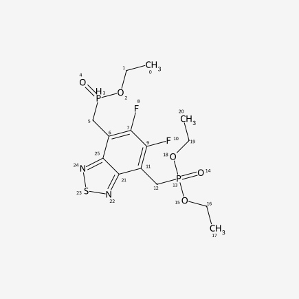 CCO[PH](=O)Cc1c(F)c(F)c(CP(=O)(OCC)OCC)c2nsnc12